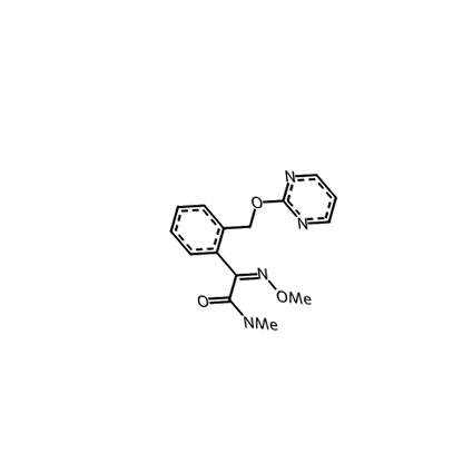 CNC(=O)/C(=N\OC)c1ccccc1COc1ncccn1